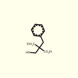 CCOC(=O)C(CO)(Cc1ccccc1)C(=O)OCC